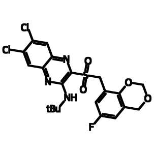 CC(C)(C)Nc1nc2cc(Cl)c(Cl)cc2nc1S(=O)(=O)Cc1cc(F)cc2c1OCOC2